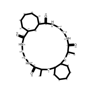 CC1CC2CCCCCC2CC(C)C(=O)NCCNC(=O)C2CCCCCC(C2)C(=O)NCCNC1=O